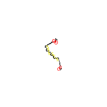 C=C(C)C(=O)OCCCCCCc1ccc(-c2ccc(-c3cc4sc(-c5ccc(-c6ccc(CCCCCCOC(=O)C(=C)C)s6)s5)cc4s3)s2)s1